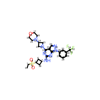 CCS(=O)(=O)[C@H]1C[C@H](Nc2nc(N3CC(N4CCOCC4)C3)c3cnn(-c4cccc(C(F)(F)F)c4)c3n2)C1